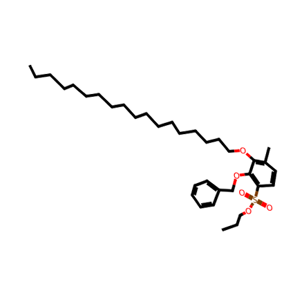 CCCCCCCCCCCCCCCCCCOc1c(C)ccc(S(=O)(=O)OCCC)c1OCc1ccccc1